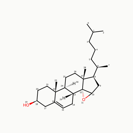 CC(C)CCC[C@@H](C)[C@H]1CC2O[C@@]23[C@@H]2CC=C4C[C@@H](O)CC[C@]4(C)[C@H]2CC[C@]13C